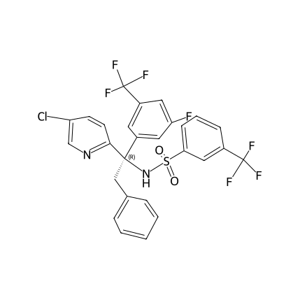 O=S(=O)(N[C@](Cc1ccccc1)(c1cc(F)cc(C(F)(F)F)c1)c1ccc(Cl)cn1)c1cccc(C(F)(F)F)c1